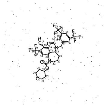 CC(=O)N(Cc1cc(C(F)(F)F)cc(C(F)(F)F)c1)C1CCCN(C(=O)OC2CCOCC2)c2cc(C(F)(F)F)c(C)cc21